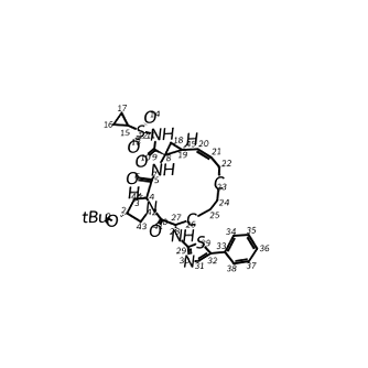 CC(C)(C)O[C@@H]1C[C@H]2C(=O)N[C@]3(C(=O)NS(=O)(=O)C4CC4)C[C@H]3C=CCCCCC[C@H](Nc3ncc(-c4ccccc4)s3)C(=O)N2C1